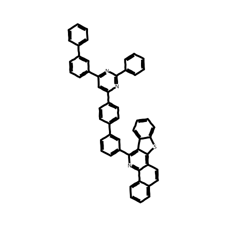 c1ccc(-c2cccc(-c3cc(-c4ccc(-c5cccc(-c6nc7c8ccccc8ccc7c7sc8ccccc8c67)c5)cc4)nc(-c4ccccc4)n3)c2)cc1